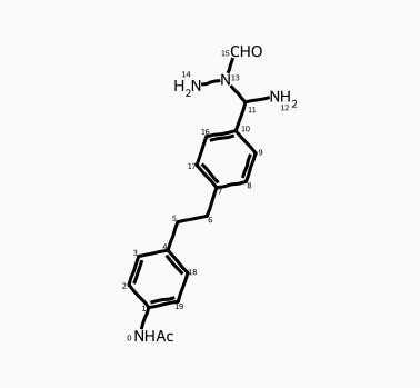 CC(=O)Nc1ccc(CCc2ccc(C(N)N(N)C=O)cc2)cc1